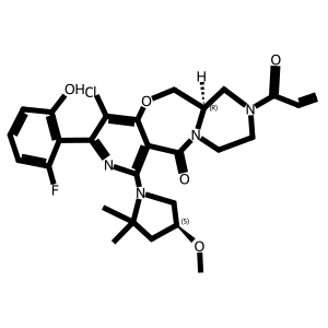 C=CC(=O)N1CCN2C(=O)c3c(N4C[C@@H](OC)CC4(C)C)nc(-c4c(O)cccc4F)c(Cl)c3OC[C@H]2C1